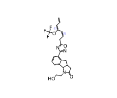 C=C/C=C(\C=C/Cc1nc(-c2cccc3c2CC2CC(=O)N(CCO)C32)no1)OC(F)(F)F